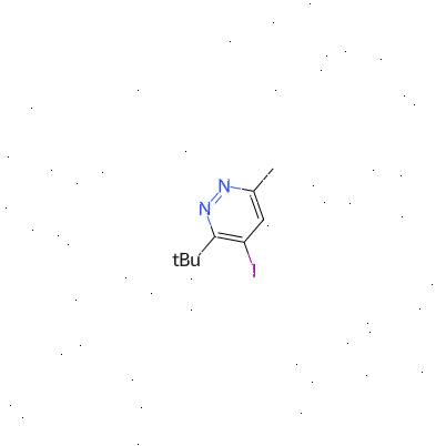 Cc1cc(I)c(C(C)(C)C)nn1